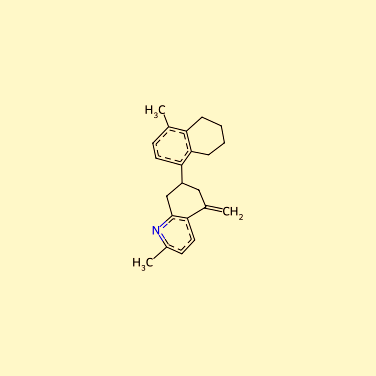 C=C1CC(c2ccc(C)c3c2CCCC3)Cc2nc(C)ccc21